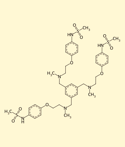 CN(CCOc1ccc(NS(C)(=O)=O)cc1)Cc1cc(CN(C)CCOc2ccc(NS(C)(=O)=O)cc2)cc(CN(C)CCOc2ccc(NS(C)(=O)=O)cc2)c1